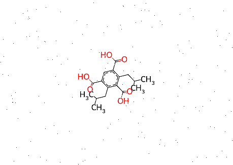 CC(C)Cc1c(C(=O)O)cc(C(=O)O)c(CC(C)C)c1C(=O)O